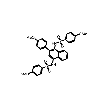 COc1ccc(-c2cc(NS(=O)(=O)c3ccc(OC)cc3)c3ccccc3c2NS(=O)(=O)c2ccc(OC)cc2)cc1